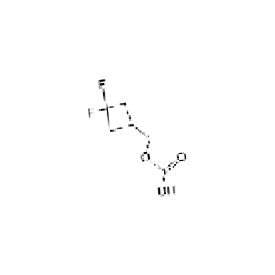 O=C(O)OCC1CC(F)(F)C1